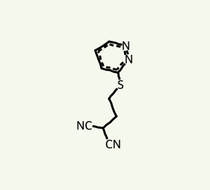 N#CC(C#N)CCSc1cccnn1